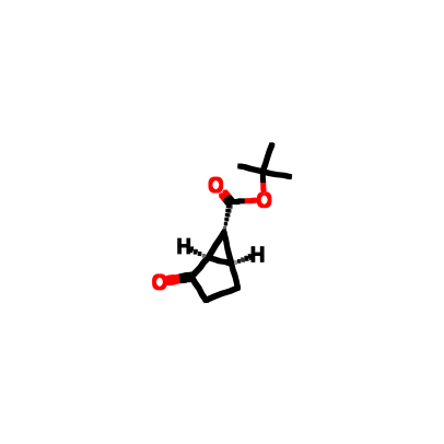 CC(C)(C)OC(=O)[C@@H]1[C@H]2CCC(=O)[C@H]21